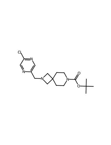 CC(C)(C)OC(=O)N1CCC2(CC1)CN(Cc1cnc(Cl)cn1)C2